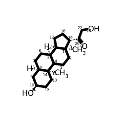 C[C@]12CCC3[C@@H](CC[C@@H]4C[C@H](O)CC[C@]34C)C1CC[C@@H]2C(=O)CO